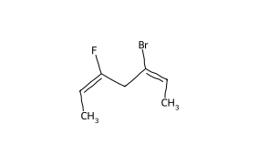 C/C=C(/F)C/C(Br)=C\C